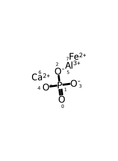 O=P([O-])([O-])[O-].[Al+3].[Ca+2].[Fe+2]